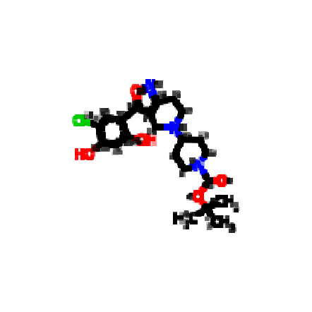 CC(C)(C)OC(=O)N1CCC(N2CCc3noc(-c4cc(Cl)c(O)cc4O)c3C2)CC1